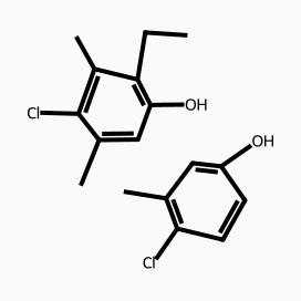 CCc1c(O)cc(C)c(Cl)c1C.Cc1cc(O)ccc1Cl